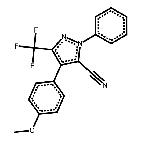 COc1ccc(-c2c(C(F)(F)F)nn(-c3ccccc3)c2C#N)cc1